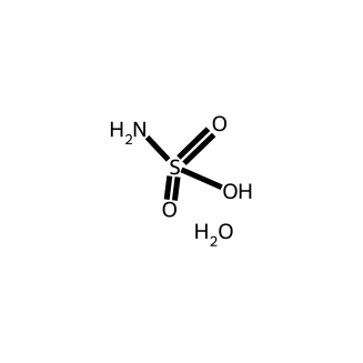 NS(=O)(=O)O.O